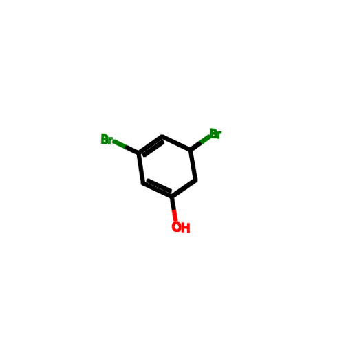 OC1=CC(Br)=CC(Br)C1